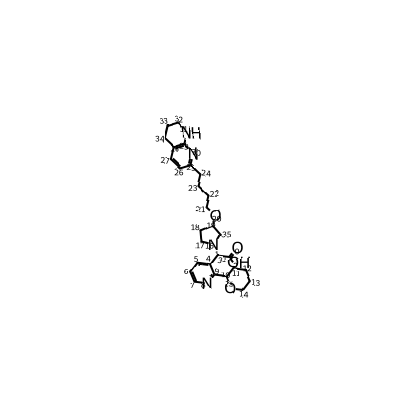 O=C(O)[C@H](c1cccnc1C1CCCCO1)N1CC[C@@H](OCCCCc2ccc3c(n2)NCCC3)C1